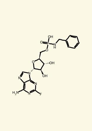 Nc1nc(F)nc2c1ncn2[C@@H]1O[C@@H](COP(=O)(O)NCc2ccccc2)[C@H](O)[C@H]1O